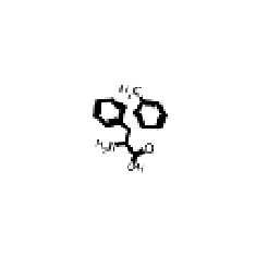 Cc1ccccc1.NC(Cc1ccccc1)C(=O)O